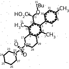 Cc1ccc(-c2c(C)c3c(c(C)c2[C@H](OC(C)(C)C)C(=O)O)CN(S(=O)(=O)N2CCCCC2)CC3)cc1